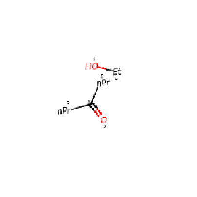 CCCC(=O)CCC.CCO